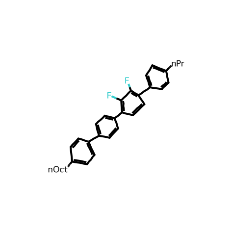 CCCCCCCCc1ccc(-c2ccc(-c3ccc(-c4ccc(CCC)cc4)c(F)c3F)cc2)cc1